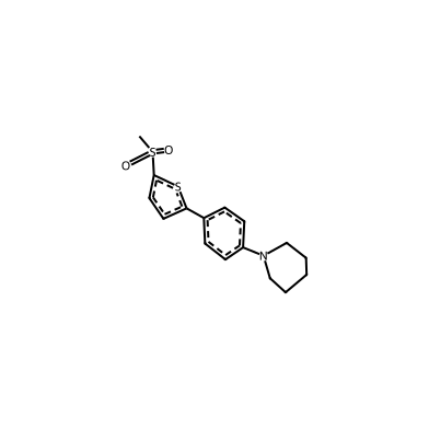 CS(=O)(=O)c1ccc(-c2ccc(N3CCCCC3)cc2)s1